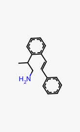 CC(CN)c1ccccc1C=Cc1ccccc1